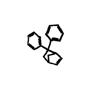 C1=CC2CC1CC2(c1ccccc1)c1ccccc1